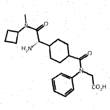 CN(C(=O)[C@@H](N)C1CCC(C(=O)N(CC(=O)O)c2ccccc2)CC1)C1CCC1